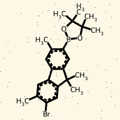 Cc1cc2c(cc1Br)C(C)(C)c1cc(B3OC(C)(C)C(C)(C)O3)c(C)cc1-2